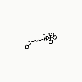 CN(CCCCCCCCN1CC[C@@H](C(C(N)=O)(c2ccccc2)c2ccccc2)C1)Cc1ccccc1